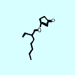 CCCCCC(CC)COC1=CC(=O)CC1